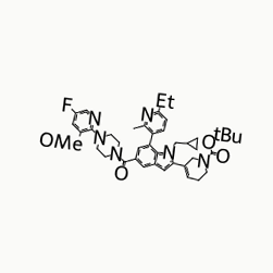 CCc1ccc(-c2cc(C(=O)N3CCN(c4ncc(F)cc4OC)CC3)cc3cc(C4=CCCN(C(=O)OC(C)(C)C)C4)n(CC4CC4)c23)c(C)n1